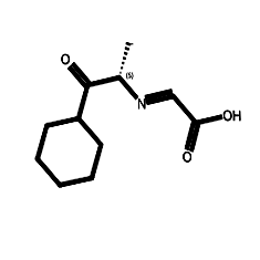 [CH2][C@H](N=CC(=O)O)C(=O)C1CCCCC1